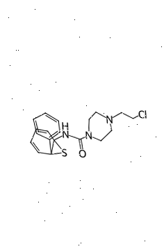 O=C(NC12C=CC=CC1(c1ccccc1)S2)N1CCN(CCCl)CC1